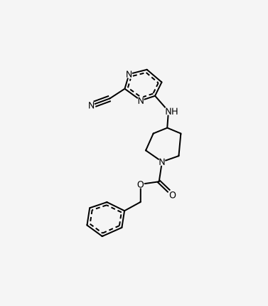 N#Cc1nccc(NC2CCN(C(=O)OCc3ccccc3)CC2)n1